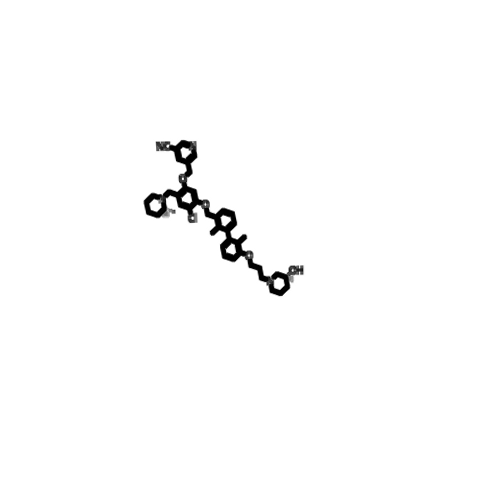 Cc1c(COc2cc(OCc3cncc(C#N)c3)c(CN3CCCC[C@H]3C)cc2Cl)cccc1-c1cccc(OCCCN2CCC[C@@H](O)C2)c1C